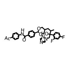 CC(=O)c1ccc(NC(=O)c2ccc(C3OCC(CC(C)C(O)(Cn4cncn4)c4ccc(F)cc4F)CO3)cc2)cc1